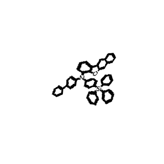 c1ccc(-c2ccc(N(c3ccc([Si](c4ccccc4)(c4ccccc4)c4ccccc4)cc3)c3cccc4c3oc3cc5ccccc5cc34)cc2)cc1